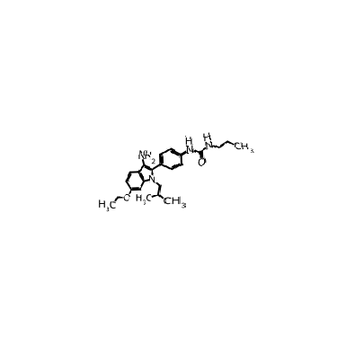 CCCNC(=O)Nc1ccc(-c2c(N)c3ccc(OCC)cc3n2CC(C)C)cc1